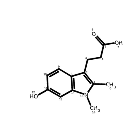 Cc1c(CCC(=O)O)c2ccc(O)cc2n1C